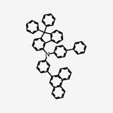 c1ccc(-c2ccc(N(c3cccc(-c4cc5ccccc5c5ccccc45)c3)c3cccc4c3-c3ccccc3C4(c3ccccc3)c3ccccc3)cc2)cc1